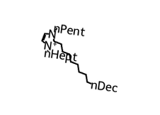 CCCCCCCCCCCCCCCCCCc1n(CCCCC)cc[n+]1CCCCCCC